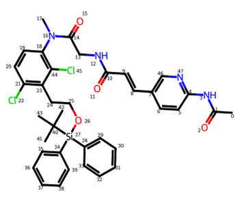 CC(=O)Nc1ccc(/C=C/C(=O)NCC(=O)N(C)c2ccc(Cl)c(CCO[Si](c3ccccc3)(c3ccccc3)C(C)(C)C)c2Cl)cn1